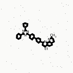 CCc1cc(-c2ccc(-c3ccc(-c4nc(-c5ccccc5)nc(-c5ccccc5)n4)cc3)cc2)nc2c1ccc1ccc(C)nc12